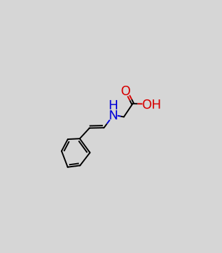 O=C(O)CNC=Cc1ccccc1